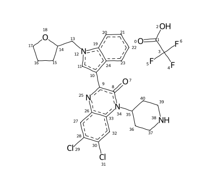 O=C(O)C(F)(F)F.O=c1c(-c2cn(CC3CCCO3)c3ccccc23)nc2cc(Cl)c(Cl)cc2n1C1CCNCC1